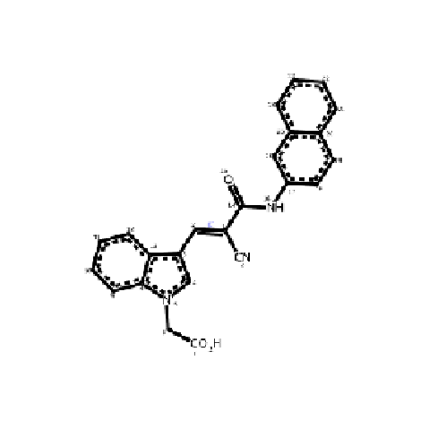 N#C/C(=C\c1cn(CC(=O)O)c2ccccc12)C(=O)Nc1ccc2ccccc2c1